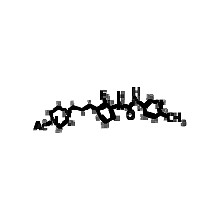 CC(=O)N1CCN(CCCc2cccc(NC(=O)Nc3ccc(C)nc3)c2F)CC1